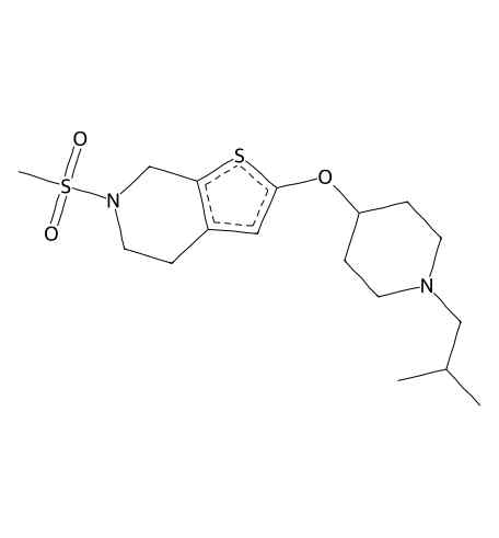 CC(C)CN1CCC(Oc2cc3c(s2)CN(S(C)(=O)=O)CC3)CC1